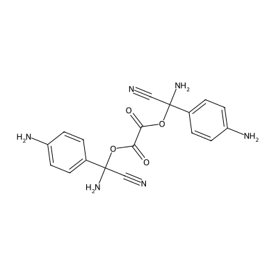 N#CC(N)(OC(=O)C(=O)OC(N)(C#N)c1ccc(N)cc1)c1ccc(N)cc1